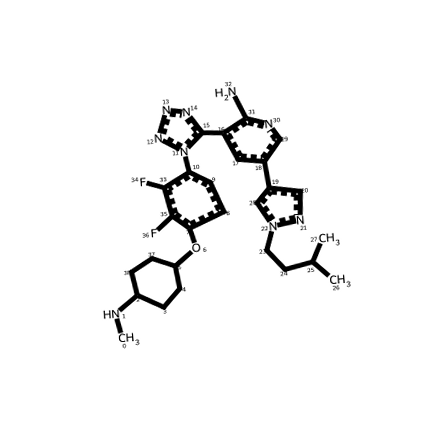 CNC1CCC(Oc2ccc(-n3nnnc3-c3cc(-c4cnn(CCC(C)C)c4)cnc3N)c(F)c2F)CC1